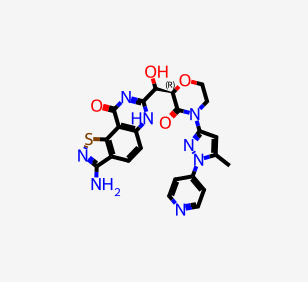 Cc1cc(N2CCO[C@H](C(O)c3nc(=O)c4c(ccc5c(N)nsc54)[nH]3)C2=O)nn1-c1ccncc1